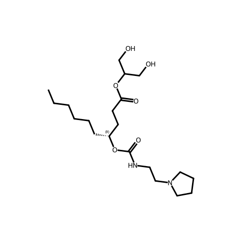 CCCCCC[C@H](CCC(=O)OC(CO)CO)OC(=O)NCCN1CCCC1